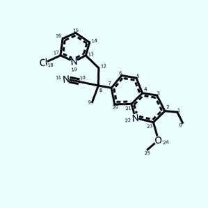 CCc1cc2ccc(C(C)(C#N)Cc3cccc(Cl)n3)cc2nc1OC